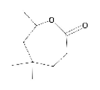 CC1CC(C)(C)CCC(=O)O1